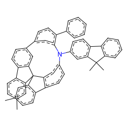 Cc1ccc2c(c1)C13c4cc(C)ccc4-c4ccc(cc41)N(c1ccc4c(c1)C(C)(C)c1ccccc1-4)c1cc(ccc1-c1ccccc1)-c1ccc-2c3c1